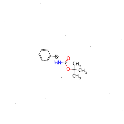 CC(C)(C)OC(=O)N[B]c1ccccc1